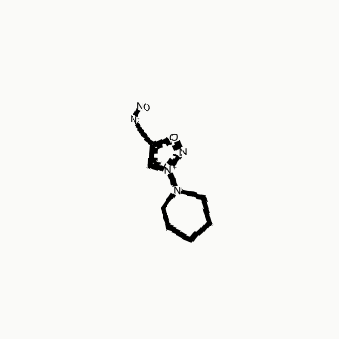 O=N[N-]c1c[n+](N2CCCCC2)no1